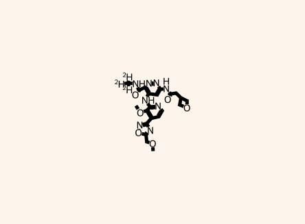 [2H]C([2H])([2H])NC(=O)c1nnc(NC(=O)CC2COC2)cc1Nc1nccc(-c2noc(COC)n2)c1OC